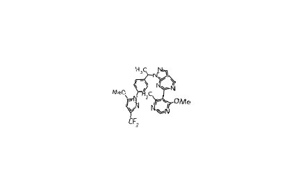 COc1ncnc(C)c1-c1ncc2cnn(C(C)c3ccc(-n4nc(C(F)(F)F)cc4OC)cc3)c2n1